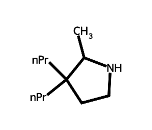 CCCC1(CCC)CCNC1C